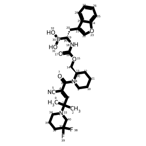 CC(C)(C=C(C#N)C(=O)N1CCCC[C@@H]1COC(=O)N[C@@H](Cc1coc2ccccc12)B(O)O)N1CCCC(F)(F)C1